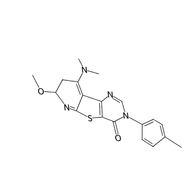 COC1CC(N(C)C)=c2c(sc3c(=O)n(-c4ccc(C)cc4)cnc23)=N1